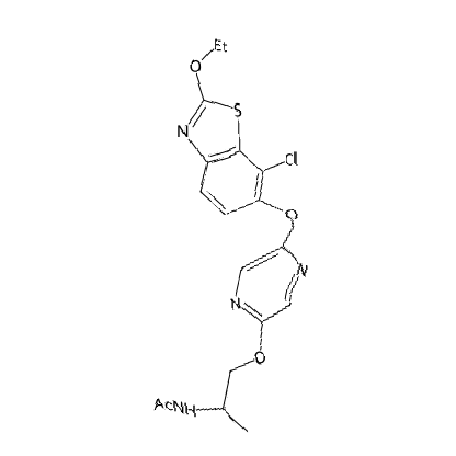 CCOc1nc2ccc(Oc3cnc(OCC(C)NC(C)=O)cn3)c(Cl)c2s1